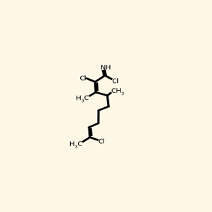 C/C(Cl)=C/CCCC(C)/C(C)=C(/Cl)C(=N)Cl